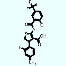 Cc1ccc(C2CSC(NC(=O)c3cc(C(F)(F)F)ccc3O)=C2C(=O)O)c(F)c1